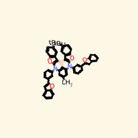 Cc1cc2c3c(c1)N(c1cccc(-c4cc5ccccc5o4)c1)c1oc4ccc(C(C)(C)C)cc4c1B3c1c(oc3ccc(C(C)(C)C)cc13)N2c1cccc(-c2cc3ccccc3o2)c1